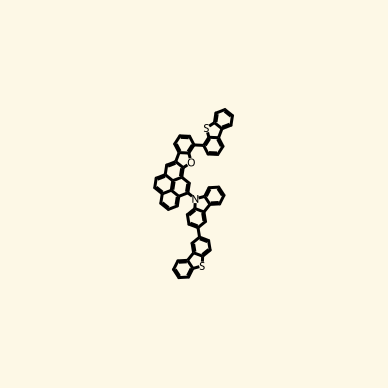 c1ccc2c(c1)sc1ccc(-c3ccc4c(c3)c3ccccc3n4-c3cc4c5oc6c(-c7cccc8c7sc7ccccc78)cccc6c5cc5ccc6cccc3c6c54)cc12